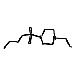 [CH2]CN1CCN(S(=O)(=O)CCCC)CC1